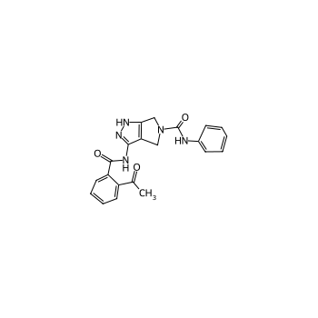 CC(=O)c1ccccc1C(=O)Nc1n[nH]c2c1CN(C(=O)Nc1ccccc1)C2